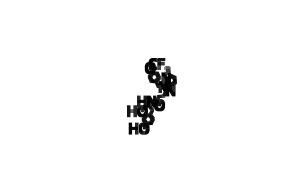 O=C(CCc1nc2cccnc2n1Cc1ccc(OC(F)(F)F)cc1)NC(CO)Cc1ccc(O)cc1